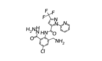 NCc1cc(Cl)cc(C(=O)NN)c1NC(=O)c1cc(C(F)(F)F)nn1-c1ccccn1